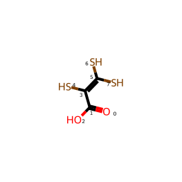 O=C(O)C(S)=C(S)S